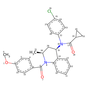 COc1ccc(C(=O)N2c3ccccc3[C@H](N(C(=O)C3CC3)c3ccc(Cl)cc3)C[C@@H]2C)cc1